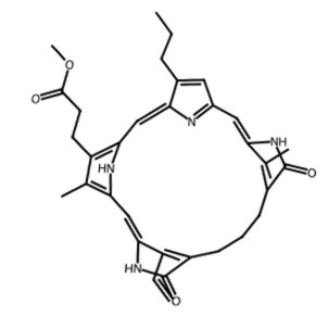 C=CC1=C2CCCC3=C(C)/C(=C/C4=NC(=C\c5[nH]c(c(C)c5CCC(=O)OC)/C=C/1NC2=O)/C(CCC)=C4)NC3=O